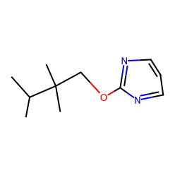 CC(C)C(C)(C)COc1ncccn1